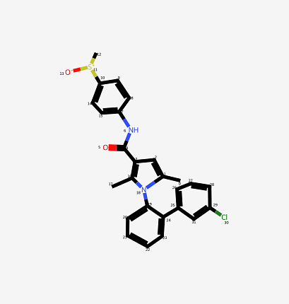 Cc1cc(C(=O)Nc2ccc([S+](C)[O-])cc2)c(C)n1-c1ccccc1-c1cccc(Cl)c1